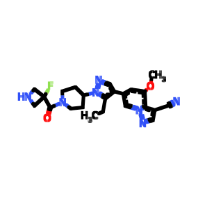 CCc1c(-c2cc(OC)c3c(C#N)cnn3c2)cnn1C1CCN(C(=O)C2(F)CNC2)CC1